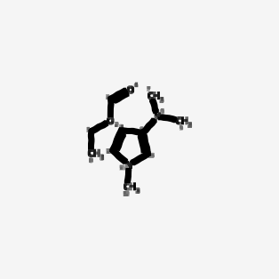 CCOC=O.CN(C)c1ccn(C)c1